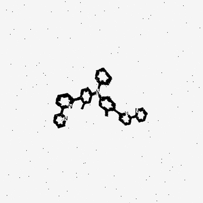 Cc1cc(N(c2ccccc2)c2ccc(-c3cccc(-c4ccccn4)n3)c(C)c2)ccc1-c1cccc(-c2ccccn2)n1